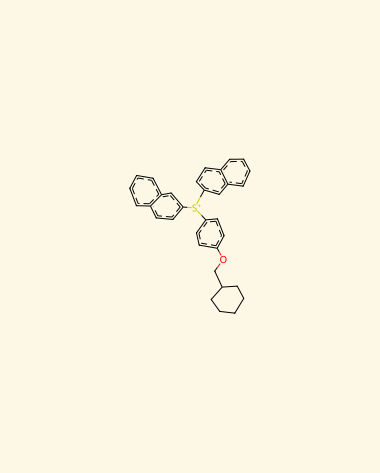 c1ccc2cc([S+](c3ccc(OCC4CCCCC4)cc3)c3ccc4ccccc4c3)ccc2c1